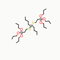 CCC[CH2][Sn]([CH2]CCC)([S]CC[Si](OCCC)(OCCC)OCCC)[S]CC[Si](OCCC)(OCCC)OCCC